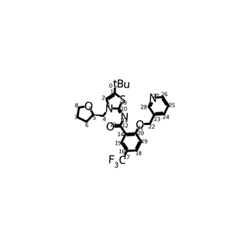 CC(C)(C)c1cn(C[C@H]2CCCO2)c(=NC(=O)c2cc(C(F)(F)F)ccc2OCc2cccnc2)s1